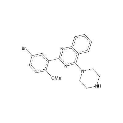 COc1ccc(Br)cc1-c1nc(N2CCNCC2)c2ccccc2n1